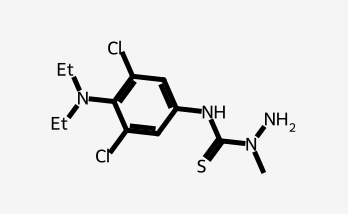 CCN(CC)c1c(Cl)cc(NC(=S)N(C)N)cc1Cl